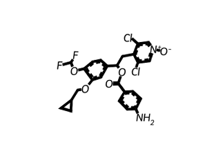 Nc1ccc(C(=O)OC(Cc2c(Cl)c[n+]([O-])cc2Cl)c2ccc(OC(F)F)c(OCC3CC3)c2)cc1